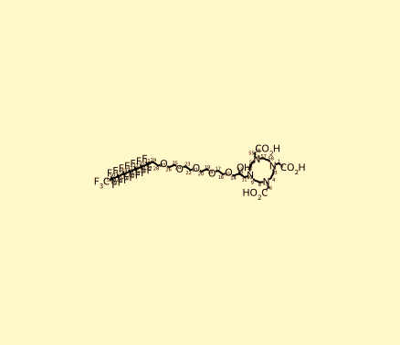 O=C(O)CN1CCN(CC(=O)O)CCN(CC(O)COCCOCCOCCOCCOCCC(F)(F)C(F)(F)C(F)(F)C(F)(F)C(F)(F)C(F)(F)C(F)(F)C(F)(F)F)CCN(CC(=O)O)CC1